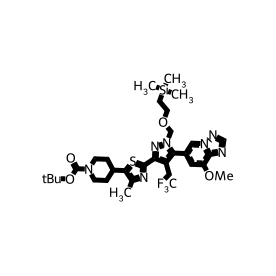 COc1cc(-c2c(CC(F)(F)F)c(-c3nc(C)c(C4CCN(C(=O)OC(C)(C)C)CC4)s3)nn2COCC[Si](C)(C)C)cn2ncnc12